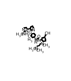 C#Cc1ccc(N(C)CCCN(C)C)c(NC(=O)Nc2ccc(Oc3ncccc3-c3ccnc(NC)n3)c(C)c2)c1